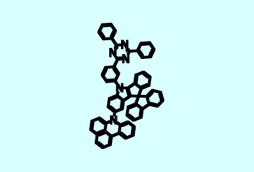 c1ccc(-c2nc(-c3ccccc3)nc(-c3cccc(-n4c5c(c6cc(N(c7ccccc7)c7ccccc7-c7ccccc7)ccc64)C4(c6ccccc6-c6ccccc64)c4ccccc4-5)c3)n2)cc1